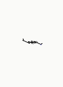 CC/C=C\CCCCOc1ccc(-c2ncc(-c3ccc(CCCCC[C@@H](C)CC)cc3)cn2)cc1